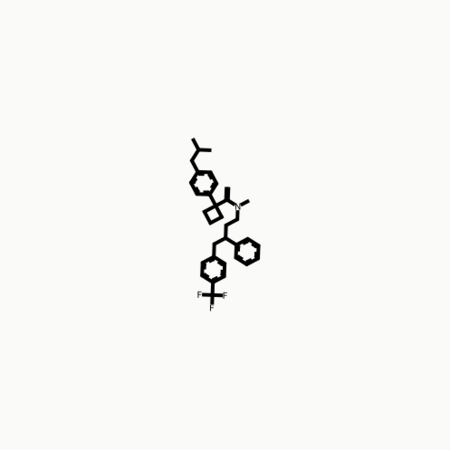 C=C(N(C)CCC(Cc1ccc(C(F)(F)F)cc1)c1ccccc1)C1(c2ccc(CC(C)C)cc2)CCC1